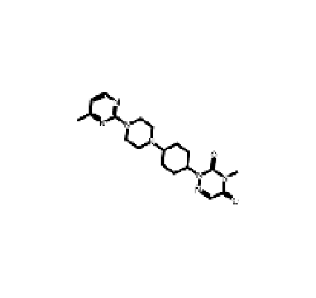 Cc1ccnc(N2CCN(C3CCC(n4ncc(=O)n(C)c4=O)CC3)CC2)n1